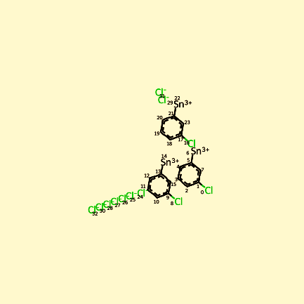 Clc1ccc[c]([Sn+3])c1.Clc1ccc[c]([Sn+3])c1.Clc1ccc[c]([Sn+3])c1.[Cl-].[Cl-].[Cl-].[Cl-].[Cl-].[Cl-].[Cl-].[Cl-].[Cl-]